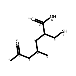 CC(=O)CC(C)CC(CS)C(=O)O